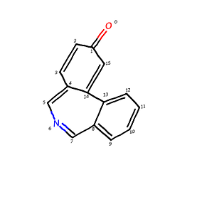 O=c1ccc2cncc3ccccc3c-2c1